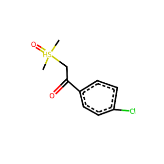 C[SH](C)(=O)CC(=O)c1ccc(Cl)cc1